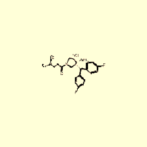 CCN(CC)CCC(=O)N1CC[C@H](N)[C@H](C(c2ccc(F)cc2)c2ccc(F)cc2)C1.Cl